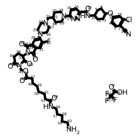 N#Cc1ccc(OC2CCC(NC(=O)c3ccc(N4CCC(CN5CCN(c6cc7c(cc6F)C(=O)N(C6CCC(=O)N(COC(=O)CCCCCCC(=O)NCCCCCN)C6=O)C7=O)CC5)CC4)nn3)CC2)cc1Cl.O=C(O)C(F)(F)F